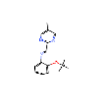 Cc1cnc(C=Nc2ccccc2O[Si](C)(C)C)nc1